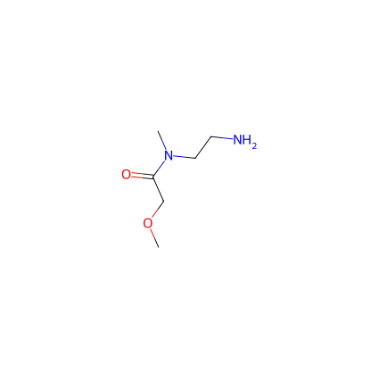 COCC(=O)N(C)CCN